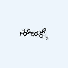 CC1=C(CN2CCCC2)CCc2cc(OC[C@@H](C)Cc3ccc(F)cc3)ccc21